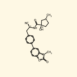 CN1CC[C@](O)(C(=O)N[C@H](C#N)Cc2ccc(-c3ccc4oc(=O)n(C)c4c3)cc2)C1